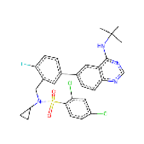 CC(C)(C)Nc1ncnc2ccc(-c3ccc(F)c(CN(C4CC4)S(=O)(=O)c4ccc(Cl)cc4Cl)c3)cc12